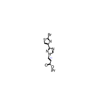 CC(C)OC(=O)/C=C/n1cnc(-c2csc(Br)n2)n1